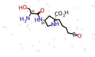 N[C@@H](CO)C(=O)N[C@H]1CN[C@@](CCCCB=O)(C(=O)O)C1